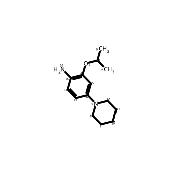 CC(C)Oc1cc(N2CC[CH]CC2)ccc1N